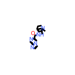 CC1(C)C(NC(=O)c2cn3ccnc3cn2)C2CCN1CC2